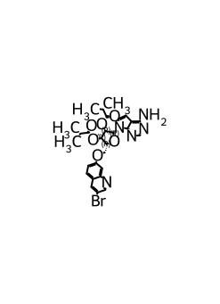 CC(C)C(=O)O[C@@H]1[C@H](OC(=O)C(C)C)[C@@H](COc2ccc3cc(Br)cnc3c2)O[C@H]1n1ccc2c(N)ncnc21